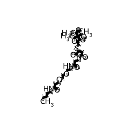 CCCCCNC(=O)CCOCCOCCNC(=O)CCN1C(=O)CC(SCCC(=O)C(C(C)=O)(C(C)=O)C(C)=O)C1=O